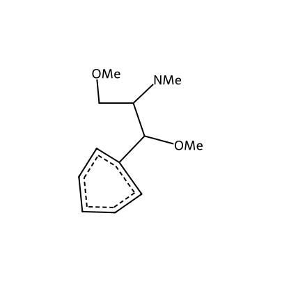 CNC(COC)C(OC)c1ccccc1